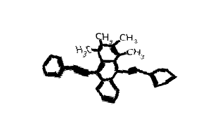 Cc1c(C)c(C)c2c(C#Cc3ccccc3)c3ccccc3c(C#Cc3ccccc3)c2c1C